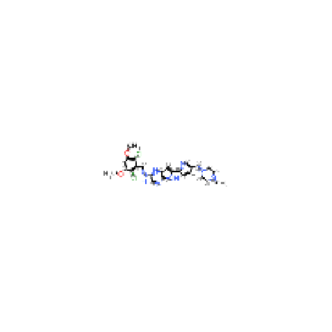 COc1cc(OC)c(Cl)c(CNc2cnc3[nH]c(-c4ccc(CN5CCN(C)CC5)cn4)cc3n2)c1Cl